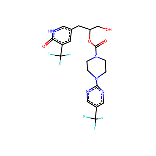 O=C(OC(CO)Cc1c[nH]c(=O)c(C(F)(F)F)c1)N1CCN(c2ncc(C(F)(F)F)cn2)CC1